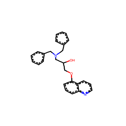 OC(COc1cccc2ncccc12)CN(Cc1ccccc1)Cc1ccccc1